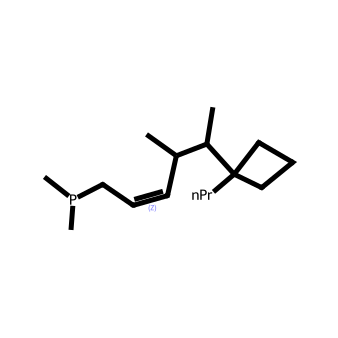 CCCC1(C(C)C(C)/C=C\CP(C)C)CCC1